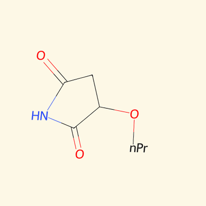 CCCOC1CC(=O)NC1=O